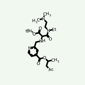 CCN(CCN(C)C)C(=O)C(NCc1cc(C(=O)OC(C)CC(C)=O)ccn1)C(=O)OC(C)(C)C